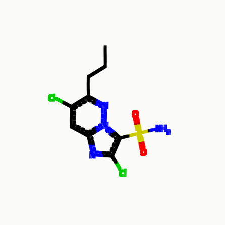 CCCc1nn2c(S(N)(=O)=O)c(Cl)nc2cc1Cl